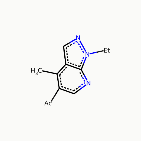 CCn1ncc2c(C)c(C(C)=O)cnc21